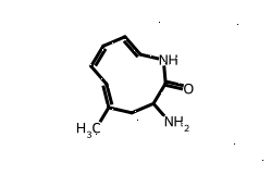 C\C1=C/C=C\C=C\NC(=O)C(N)C1